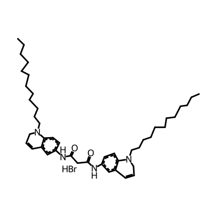 Br.CCCCCCCCCCCCN1CC=Cc2cc(NC(=O)CC(=O)Nc3ccc4c(c3)C=CCN4CCCCCCCCCCCC)ccc21